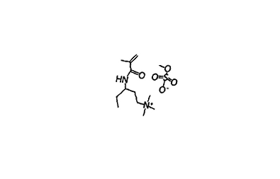 C=C(C)C(=O)NC(CC)CC[N+](C)(C)C.COS(=O)(=O)[O-]